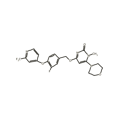 Cn1c(N2CCOCC2)cc(OCc2ccc(Oc3ccnc(C(F)(F)F)c3)c(F)c2)nc1=O